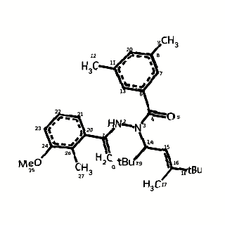 C=C(NN(C(=O)c1cc(C)cc(C)c1)C(/C=C(\C)C(C)(C)C)C(C)(C)C)c1cccc(OC)c1C